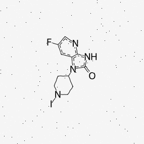 O=c1[nH]c2ncc(F)cc2n1C1CCN(I)CC1